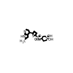 Cc1cc2c(-c3ccc(S(=O)(=O)NC4CCS(O)(O)CC4)s3)ccnc2[nH]1